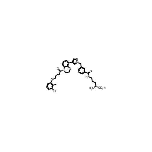 Cc1c(Cl)cccc1OCCCC(=O)N1CCSc2c(-c3cnn(Cc4cccc(C(=O)NCCC[C@H](N)C(=O)O)c4)c3)cccc21